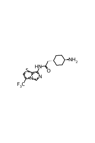 N[C@H]1CC[C@H](CC(=O)Nc2ncn3c(C(F)(F)F)csc23)CC1